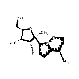 C[C@@]1(c2ccc3c(N)ccnn23)O[C@H](CO)[C@@H](O)[C@H]1F